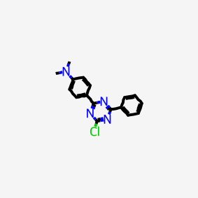 CN(C)c1ccc(-c2nc(Cl)nc(-c3ccccc3)n2)cc1